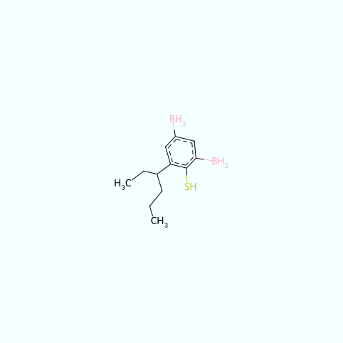 Bc1cc(B)c(S)c(C(CC)CCC)c1